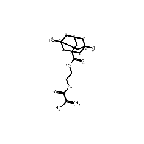 C=C(C)C(=O)OCCOC(=O)C12CC3CC(O)(CC(Cl)(C3)C1)C2